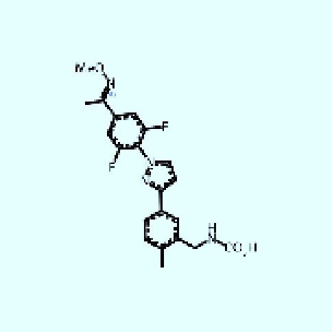 CO/N=C(\C)c1cc(F)c(-n2ccc(-c3ccc(C)c(CNC(=O)O)c3)n2)c(F)c1